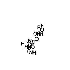 Nc1ncc(-c2cccc(C(=O)NCc3cccc(F)c3F)c2)nc1C(=O)N[C@H]1CCCNC1